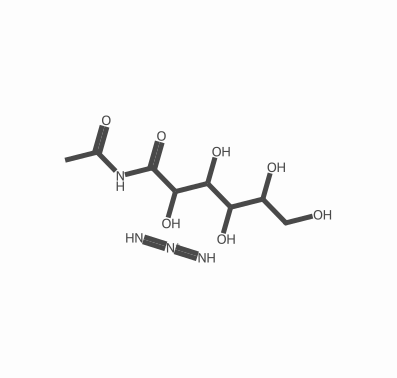 CC(=O)NC(=O)C(O)C(O)C(O)C(O)CO.N=[N+]=N